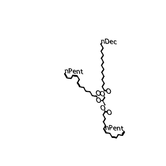 CCCCC/C=C\C/C=C\C/C=C\CCCCC(=O)OC[C@H](COC(=O)CCCCCCCCCCCCCCCCCCCCCCC)OC(=O)CCCC/C=C\C/C=C\C/C=C\CCCCC